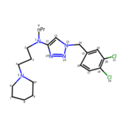 CCCN(CCCN1CCCCC1)c1cn(Cc2ccc(Cl)c(Cl)c2)nn1